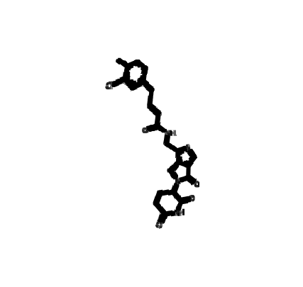 Cc1ccc(CCCC(=O)NCc2scc3c2CN(C2CCC(=O)NC2=O)C3=O)cc1Cl